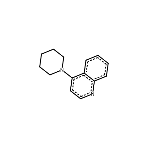 [CH]1CCN(c2ccnc3ccccc23)CC1